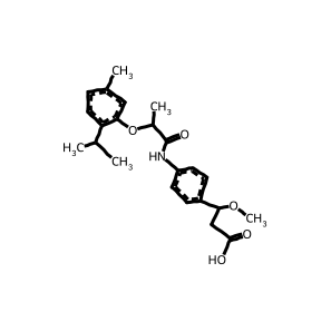 COC(CC(=O)O)c1ccc(NC(=O)C(C)Oc2cc(C)ccc2C(C)C)cc1